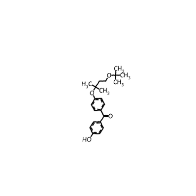 CC(C)(C)OCCC(C)(C)Oc1ccc(C(=O)c2ccc(O)cc2)cc1